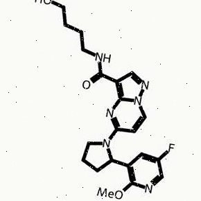 COc1ncc(F)cc1C1CCCN1c1ccn2ncc(C(=O)NCCCCO)c2n1